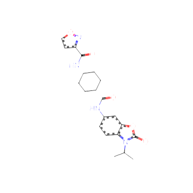 CC(C)n1c(=O)oc2cc(NC(=O)[C@H]3CC[C@@H](NC(=O)c4ccon4)CC3)ccc21